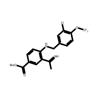 COC(=O)c1ccc(NCc2ccc(OC(F)(F)F)c(Cl)c2)c(C(C)=N)c1